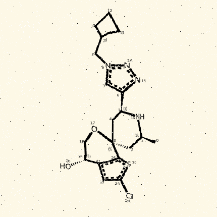 C[C@H]1C[C@@]2(C[C@@H](c3cn(CC4CCC4)nn3)N1)OC[C@@H](O)c1cc(Cl)sc12